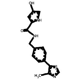 Cc1ncsc1-c1ccc(CNC(=O)c2cc(O)c[nH]2)cc1